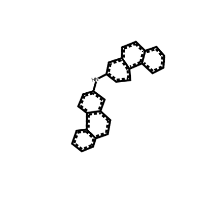 c1ccc2c(c1)ccc1cc(Nc3ccc4c(ccc5ccccc54)c3)ccc12